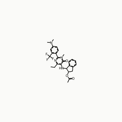 CCc1nc(-c2ccc(N(C)C)cc2C(F)(F)F)n(C)c(=O)c1NC1c2ccccc2CC1OC(C)=O